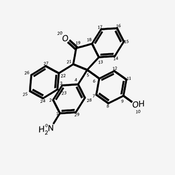 Nc1ccc(C2(c3ccc(O)cc3)c3ccccc3C(=O)C2c2ccccc2)cc1